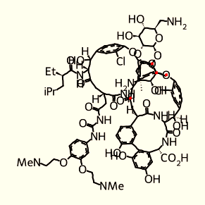 CC[C@H](CC(C)C)C(=O)N[C@H]1C(=O)C[C@@H](CC(=O)NC(=O)Nc2ccc(OCCNC)c(OCCNC)c2)C(=O)N[C@H]2C(=O)C[C@H]3C(=O)N[C@H](C(=O)N[C@H](C(=O)O)c4cc(O)cc(O)c4-c4cc3ccc4O)[C@H](O)c3ccc(c(Cl)c3)Oc3cc2cc(c3O[C@@H]2O[C@H](CN)[C@@H](O)[C@H](O)[C@H]2O[C@H]2C[C@](C)(N)[C@H](O)[C@H](C)O2)Oc2ccc(cc2Cl)[C@H]1O